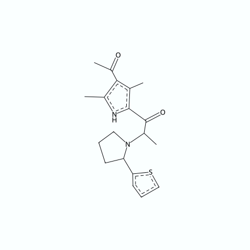 CC(=O)c1c(C)[nH]c(C(=O)C(C)N2CCCC2c2cccs2)c1C